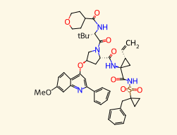 C=C[C@@H]1C[C@]1(NC(=O)[C@@H]1C[C@@H](Oc2cc(-c3ccccc3)nc3cc(OC)ccc23)CN1C(=O)[C@@H](NC(=O)C1CCOCC1)C(C)(C)C)C(=O)NS(=O)(=O)C1(Cc2ccccc2)CC1